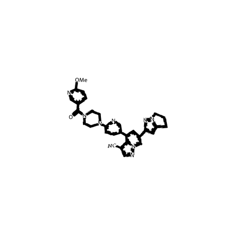 COc1ccc(C(=O)N2CCN(c3ccc(-c4cc(-c5cc6n(n5)CCC6)cn5ncc(C#N)c45)cn3)CC2)cn1